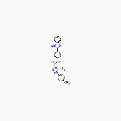 Cc1ccc(-n2ncc(C(=O)Nc3ccc(-c4nc5ccccc5[nH]4)cc3)c2C(F)(F)F)cc1